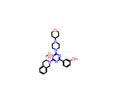 OC[C@H]1Cc2ccccc2CN1c1nc(-c2cccc(O)c2)nc(N2CCN(C3CCOCC3)CC2)n1